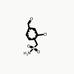 NS(=O)(=O)Cc1ccc(C=O)cc1Cl